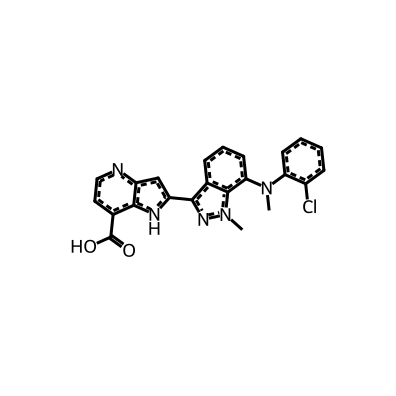 CN(c1ccccc1Cl)c1cccc2c(-c3cc4nccc(C(=O)O)c4[nH]3)nn(C)c12